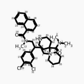 CN(C)C(=O)C1([N+]2(CCC(CN(C)C(=O)c3cccc4ccccc34)c3ccc(Cl)c(Cl)c3)CCCCC2)CCNCC1